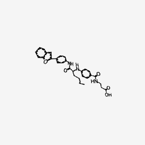 CCCCC(Nc1ccc(C(=O)NCCC(=O)O)cc1)C(=O)Nc1ccc(-c2cc3ccccc3o2)cc1